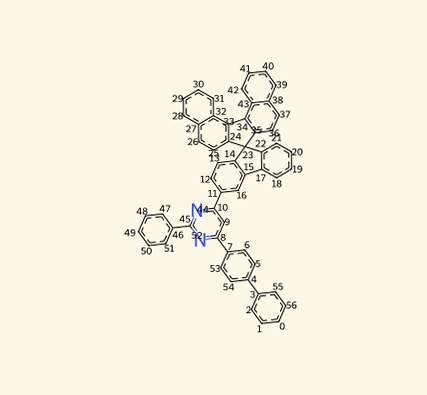 c1ccc(-c2ccc(-c3cc(-c4ccc5c(c4)-c4ccccc4C54c5ccc6ccccc6c5-c5c4ccc4ccccc54)nc(-c4ccccc4)n3)cc2)cc1